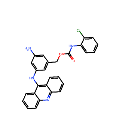 Nc1cc(COC(=O)Nc2ccccc2Cl)cc(Nc2c3ccccc3nc3ccccc23)c1